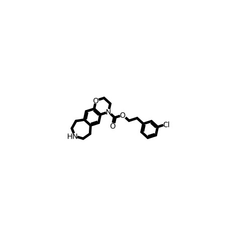 O=C(OCCc1cccc(Cl)c1)N1CCOc2cc3c(cc21)CCNCC3